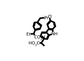 CC(C(=O)O)c1ccc2c(c1)[nH]c1ccc(Cl)cc12.CCC(C(=O)O)c1ccc(CC(C)C)cc1